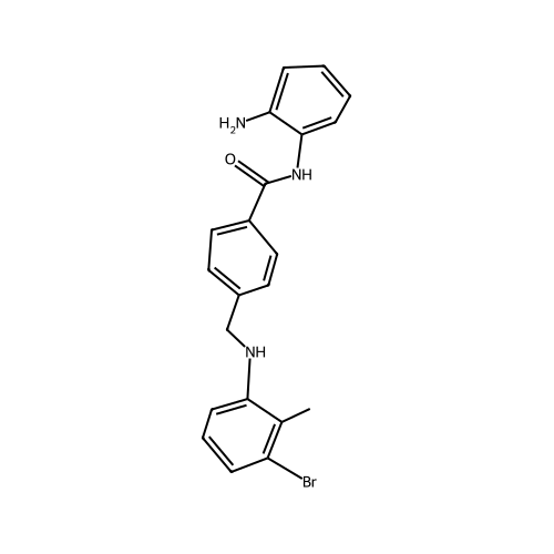 Cc1c(Br)cccc1NCc1ccc(C(=O)Nc2ccccc2N)cc1